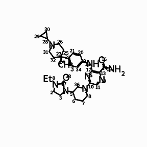 CCN1CCN(C2CCCN(c3cnc(C(N)=O)c(Nc4ccc(C5(C)CCN(C6CC6)CC5)cc4)n3)C2)C1=O